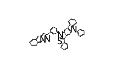 c1ccc(-n2c3ccccc3c3cc4c(cc32)c2c3ccccc3sc2n4-c2cccc(-c3cc4cc5ccccc5cn4n3)c2)cc1